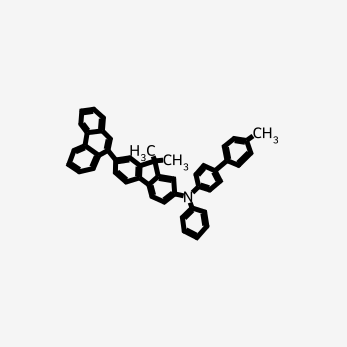 Cc1ccc(-c2ccc(N(c3ccccc3)c3ccc4c(c3)C(C)(C)c3cc(-c5cc6ccccc6c6ccccc56)ccc3-4)cc2)cc1